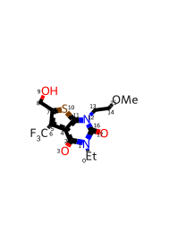 CCn1c(=O)c2c(C(F)(F)F)c(CO)sc2n(CCOC)c1=O